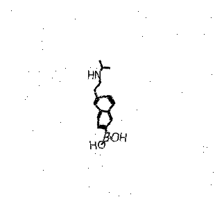 CC(C)NCCc1ccc2cc(B(O)O)ccc2c1